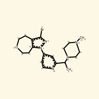 CC(c1cc(-n2nc(Br)c3c2CCOCC3)ccn1)N1CCN(C)CC1